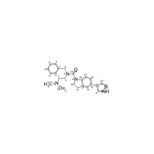 CN(C)CCN(Cc1ccccc1)C(=O)N1CCc2cc(-c3cn[nH]c3)ccc21